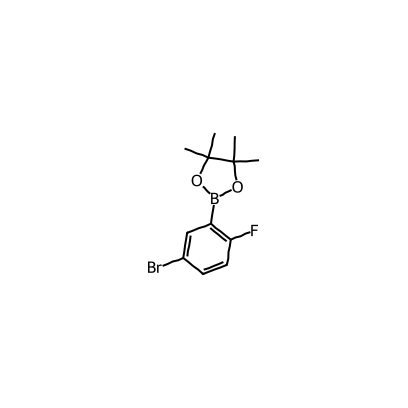 CC1(C)OB(c2cc(Br)ccc2F)OC1(C)C